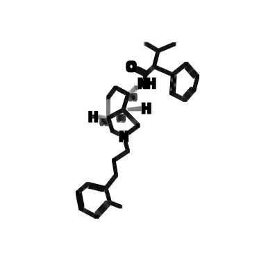 Cc1ccccc1CCCN1C[C@H]2CC[C@H](NC(=O)C(c3ccccc3)C(C)C)[C@H]2C1